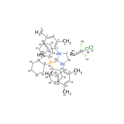 Cc1cc(C)c(N2CCN(c3c(C)cc(C)cc3C)C2=P(C2CCCCC2)(C2CCCCC2)C2CCCCC2)c(C)c1.F[C](F)=[Ru+2].[Cl-].[Cl-]